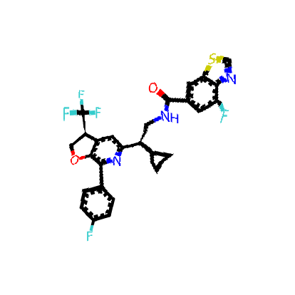 O=C(NC[C@H](c1cc2c(c(-c3ccc(F)cc3)n1)OC[C@H]2C(F)(F)F)C1CC1)c1cc(F)c2ncsc2c1